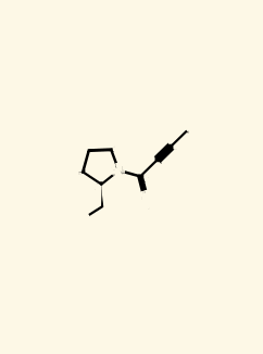 CC#CC(=O)N1CCC[C@@H]1CS